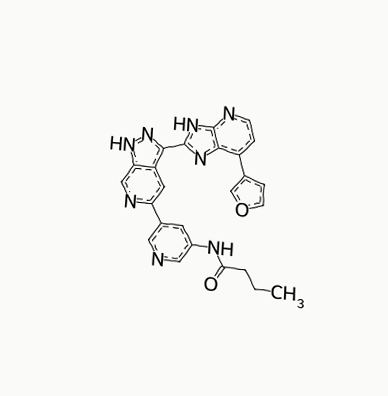 CCCC(=O)Nc1cncc(-c2cc3c(-c4nc5c(-c6ccoc6)ccnc5[nH]4)n[nH]c3cn2)c1